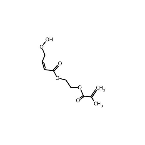 C=C(C)C(=O)OCCOC(=O)/C=C\COO